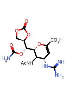 CC(=O)N[C@H]1[C@H]([C@H](OC(N)=O)[C@H]2COC(=O)O2)OC(C(=O)O)=C[C@@H]1NC(=N)N